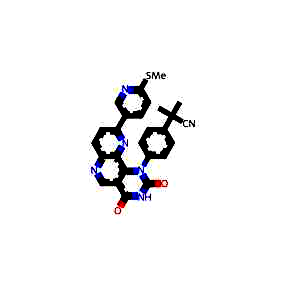 CSc1ccc(-c2ccc3ncc4c(=O)[nH]c(=O)n(-c5ccc(C(C)(C)C#N)cc5)c4c3n2)cn1